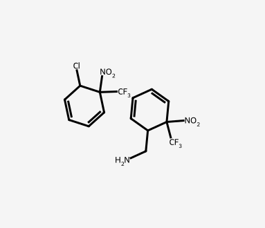 NCC1C=CC=CC1([N+](=O)[O-])C(F)(F)F.O=[N+]([O-])C1(C(F)(F)F)C=CC=CC1Cl